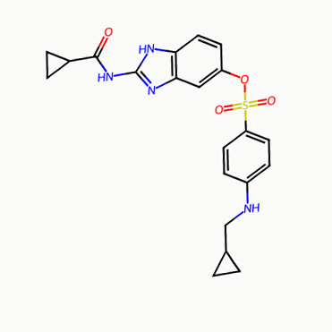 O=C(Nc1nc2cc(OS(=O)(=O)c3ccc(NCC4CC4)cc3)ccc2[nH]1)C1CC1